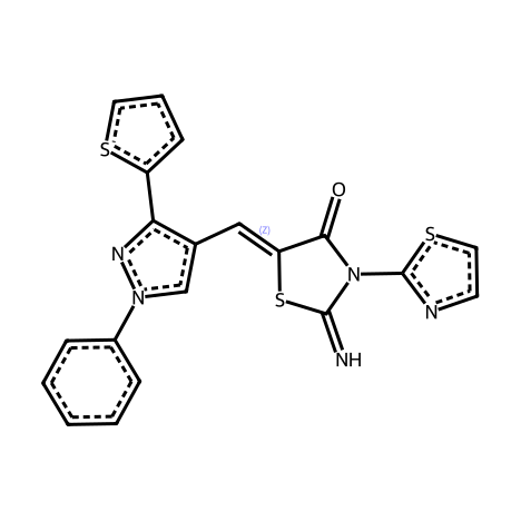 N=C1S/C(=C\c2cn(-c3ccccc3)nc2-c2cccs2)C(=O)N1c1nccs1